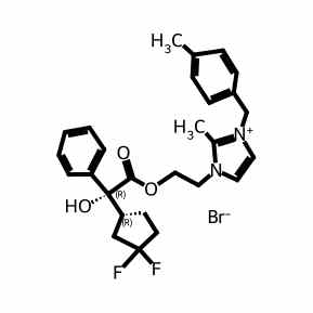 Cc1ccc(C[n+]2ccn(CCOC(=O)[C@](O)(c3ccccc3)[C@@H]3CCC(F)(F)C3)c2C)cc1.[Br-]